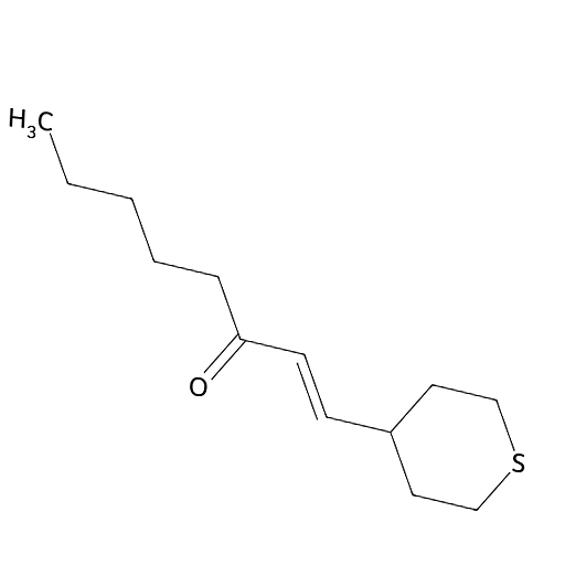 CCCCCC(=O)C=CC1CCSCC1